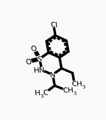 CCC1c2ccc(Cl)cc2S(=O)(=O)NN1C(C)C